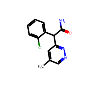 NC(=O)C(c1cc(C(F)(F)F)cnn1)c1ccccc1Cl